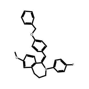 COc1ccc2c(c1)CCCN(c1ccc(F)cc1)C2=Cc1ccc(OCc2ccccc2)cc1